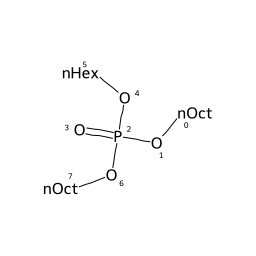 CCCCCCCCOP(=O)(OCCCCCC)OCCCCCCCC